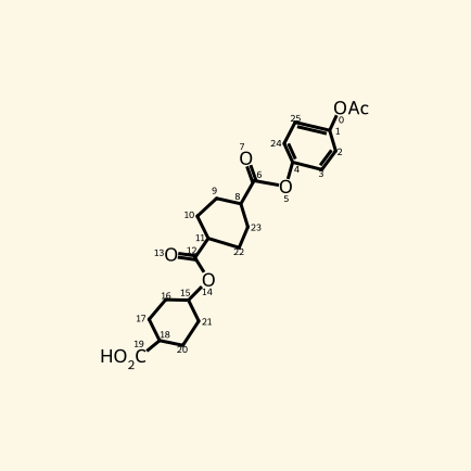 CC(=O)Oc1ccc(OC(=O)C2CCC(C(=O)OC3CCC(C(=O)O)CC3)CC2)cc1